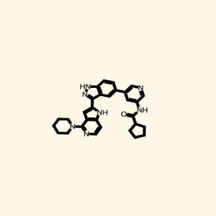 O=C(Nc1cncc(-c2ccc3[nH]nc(-c4cc5c(N6CCCCC6)nccc5[nH]4)c3c2)c1)C1CCCC1